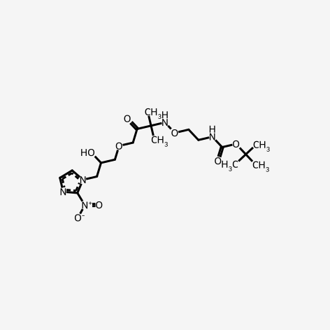 CC(C)(C)OC(=O)NCCONC(C)(C)C(=O)COCC(O)Cn1ccnc1[N+](=O)[O-]